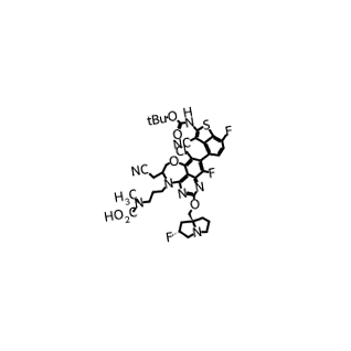 CN(CCCN1c2nc(OC[C@@]34CCCN3C[C@H](F)C4)nc3c(F)c(-c4ccc(F)c5sc(NC(=O)OC(C)(C)C)c(C#N)c45)c(Cl)c(c23)OCC1CC#N)C(=O)O